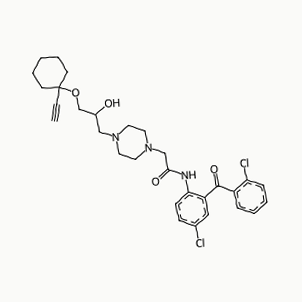 C#CC1(OCC(O)CN2CCN(CC(=O)Nc3ccc(Cl)cc3C(=O)c3ccccc3Cl)CC2)CCCCC1